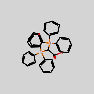 O=C(O)C([PH](c1ccccc1)(c1ccccc1)c1ccccc1)[PH](c1ccccc1)(c1ccccc1)c1ccccc1